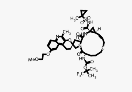 COCCOc1ccc2nc(C)c3c(c2c1)CC[C@]1(C[C@H]2C(=O)N[C@]4(C(=O)NS(=O)(=O)C5(C)CC5)C[C@H]4/C=C\CCCCC[C@H](NC(=O)OC(C)(C)C(F)(F)F)C(=O)N2C1)O3